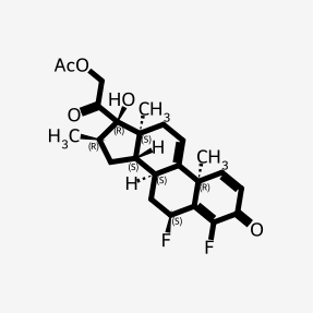 CC(=O)OCC(=O)[C@@]1(O)[C@H](C)C[C@H]2[C@@H]3C[C@H](F)C4=C(F)C(=O)C=C[C@]4(C)C3=CC[C@@]21C